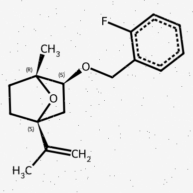 C=C(C)[C@@]12CC[C@@](C)(O1)[C@@H](OCc1ccccc1F)C2